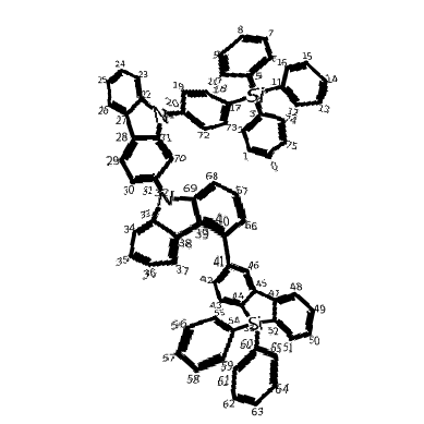 c1ccc([Si](c2ccccc2)(c2ccccc2)c2ccc(-n3c4ccccc4c4ccc(-n5c6ccccc6c6c(-c7ccc8c(c7)-c7ccccc7[Si]8(c7ccccc7)c7ccccc7)cccc65)cc43)cc2)cc1